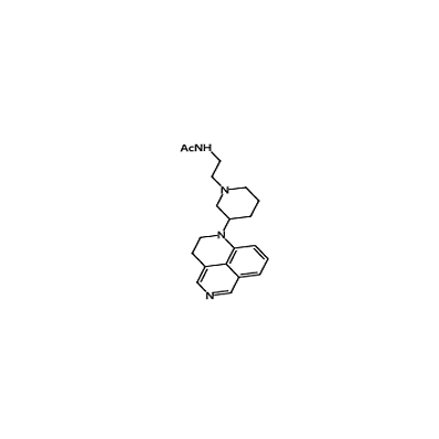 CC(=O)NCCN1CCCC(N2CCc3cncc4cccc2c34)C1